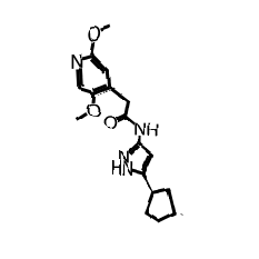 COc1cc(CC(=O)Nc2cc([C@H]3C[CH]CC3)[nH]n2)c(OC)cn1